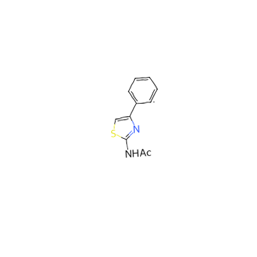 CC(=O)Nc1nc(-c2[c]cccc2)cs1